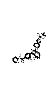 CC(C)(C)OC(=O)N1CC2(CCN(c3nc(-c4ccc(C(=O)Nc5ccccn5)cc4)c4c(N)nccn34)CC2)C1